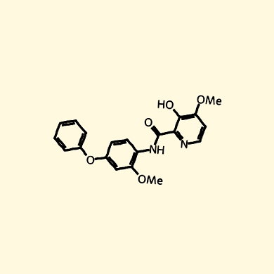 COc1cc(Oc2ccccc2)ccc1NC(=O)c1nccc(OC)c1O